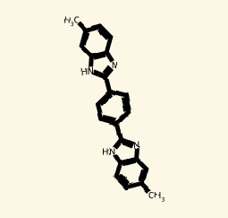 Cc1ccc2[nH]c(-c3ccc(-c4nc5ccc(C)cc5[nH]4)cc3)nc2c1